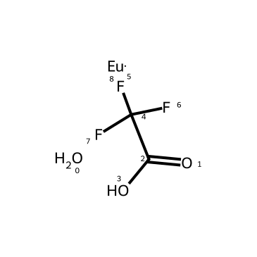 O.O=C(O)C(F)(F)F.[Eu]